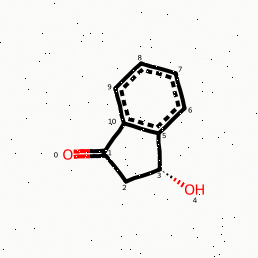 O=C1C[C@@H](O)c2ccccc21